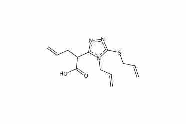 C=CCSc1nnc(C(CC=C)C(=O)O)n1CC=C